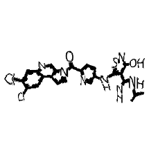 CC(C)NC(=N)c1c(O)nsc1Nc1ccc(C(=O)n2ccc3c4cc(Cl)c(Cl)cc4ncc32)nc1